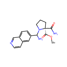 CC(C)(C)OC(=O)[C@@]1(C(N)=O)CCCN1C(N)c1ccc2cnccc2c1